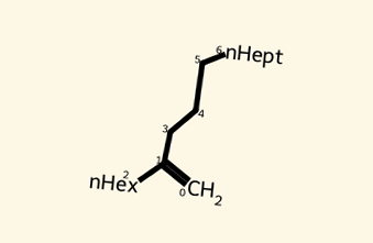 C=C(CCCCCC)CCCCCCCCCC